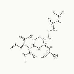 C=C/C=C(\C(=C)Cl)[C@@H](C(=O)OC)N1CC[C@H](CCOC(=O)OC(C)C)/C(=C/C(=O)O)C1